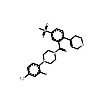 CS(=O)(=O)c1ccc(C2=CCOCC2)c(C(=O)N2CCN(c3ccc(C(F)(F)F)cc3F)CC2)c1